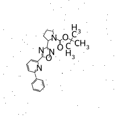 CC(C)(C)OC(=O)N1CCCC1c1noc(-c2cccc(-c3ccccc3)n2)n1